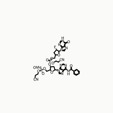 COP(=O)(OCCC#N)OCC1OC(n2cnc3c(NC(=O)c4ccccc4)ncnc32)C[C@@H]1OP(=O)(OCCC#N)OCC1C[C@@H](F)C(n2cnc3c(=O)[nH]cnc32)O1